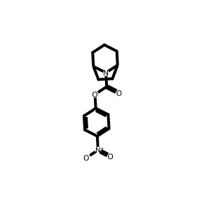 O=C(Oc1ccc([N+](=O)[O-])cc1)N1C2CCCC1CC2